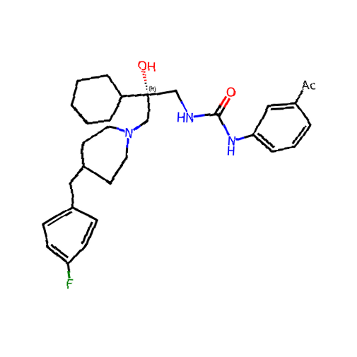 CC(=O)c1cccc(NC(=O)NC[C@@](O)(CN2CCC(Cc3ccc(F)cc3)CC2)C2CCCCC2)c1